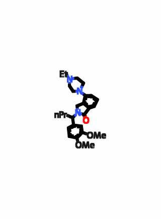 [CH2]CCC(c1ccc(OC)c(OC)c1)N1Cc2c(cccc2N2CCN(CC)CC2)C1=O